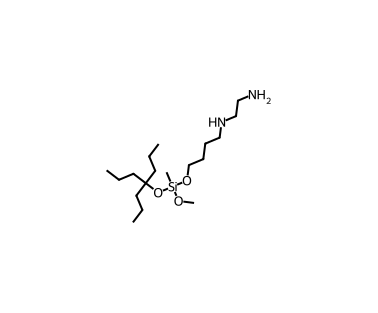 CCCC(CCC)(CCC)O[Si](C)(OC)OCCCCNCCN